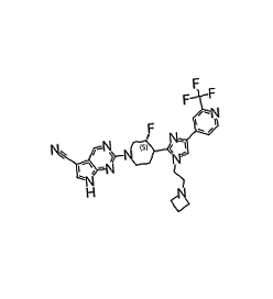 N#Cc1c[nH]c2nc(N3CCC(c4nc(-c5ccnc(C(F)(F)F)c5)cn4CCN4CCC4)[C@H](F)C3)ncc12